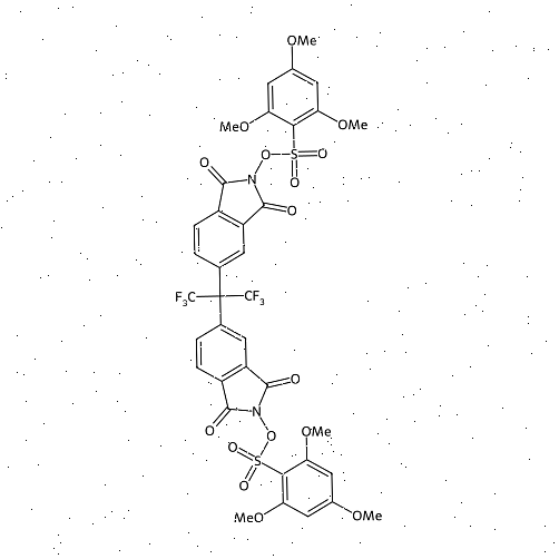 COc1cc(OC)c(S(=O)(=O)ON2C(=O)c3ccc(C(c4ccc5c(c4)C(=O)N(OS(=O)(=O)c4c(OC)cc(OC)cc4OC)C5=O)(C(F)(F)F)C(F)(F)F)cc3C2=O)c(OC)c1